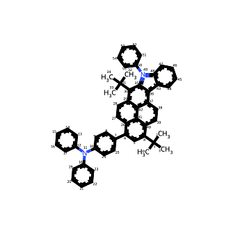 CC(C)(C)c1cc(-c2ccc(N(c3ccccc3)c3ccccc3)cc2)c2ccc3c(C(C)(C)C)c4c(c5ccc1c2c35)c1ccccc1n4-c1ccccc1